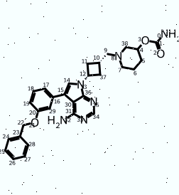 NC(=O)OC1CCCN(C[C@H]2C[C@@H](n3cc(-c4cccc(OCc5ccccc5)c4)c4c(N)ncnc43)C2)C1